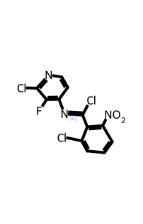 O=[N+]([O-])c1cccc(Cl)c1/C(Cl)=N/c1ccnc(Cl)c1F